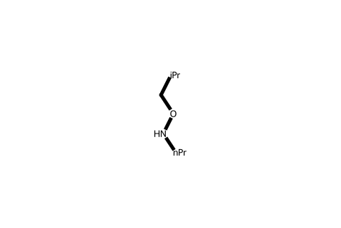 CCCNOCC(C)C